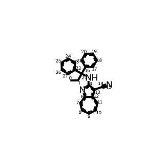 CCC(Nc1nc2cccccc-2c1C#N)(c1ccccc1)c1ccccc1